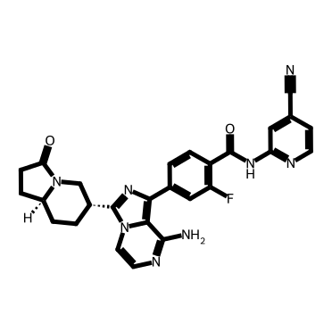 N#Cc1ccnc(NC(=O)c2ccc(-c3nc([C@@H]4CC[C@H]5CCC(=O)N5C4)n4ccnc(N)c34)cc2F)c1